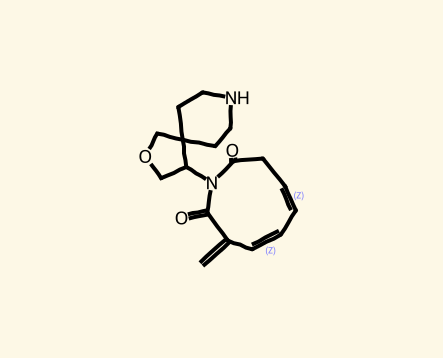 C=C1/C=C\C=C/CC(=O)N(C2COCC23CCNCC3)C1=O